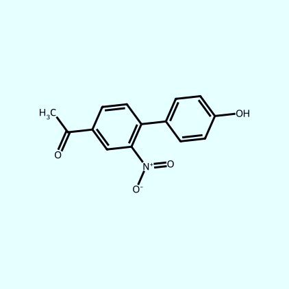 CC(=O)c1ccc(-c2ccc(O)cc2)c([N+](=O)[O-])c1